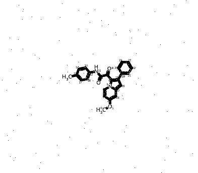 COc1ccn2c(C(=O)C(=O)Nc3ccc(C)cc3)c(-c3ccccc3)cc2c1